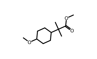 COC(=O)C(C)(C)C1CCC(OC)CC1